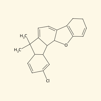 CC1(C)C2=CC=C3C4=C(C=CCC4)OC3C2C2C=C(Cl)C=CC21